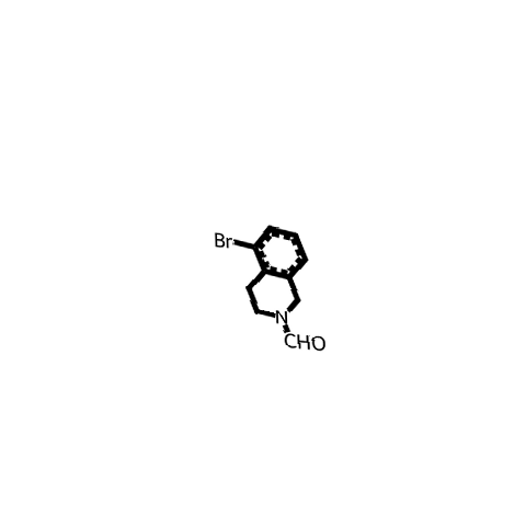 O=CN1CCc2c(Br)cccc2C1